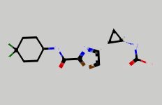 O=C(O)N[C@@H]1C[C@H]1c1csc(C(=O)NC2CCC(F)(F)CC2)n1